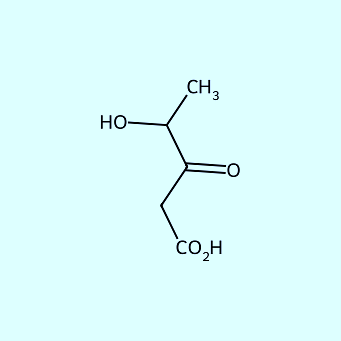 CC(O)C(=O)CC(=O)O